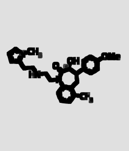 COc1ccc(C2Cc3c(cccc3C(F)(F)F)N(CCNCCc3cccn3C)C(=O)[C@@H]2O)cc1